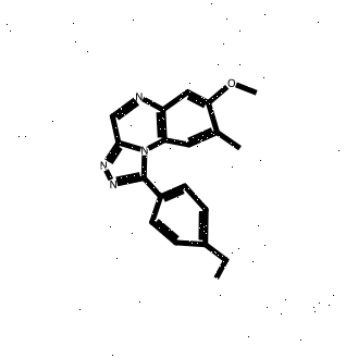 CCc1ccc(-c2nnc3cnc4cc(OC)c(C)cc4n23)cc1